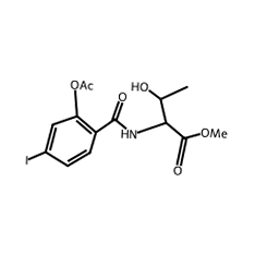 COC(=O)C(NC(=O)c1ccc(I)cc1OC(C)=O)C(C)O